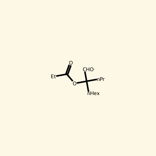 CCCCCCC([C]=O)(CCC)OC(=O)CC